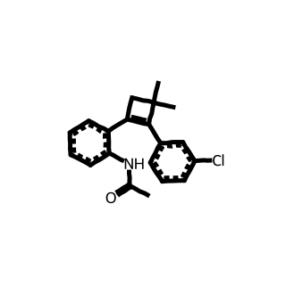 CC(=O)Nc1ccccc1C1=C(c2cccc(Cl)c2)C(C)(C)C1